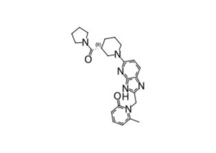 Cc1cccc(=O)n1Cc1nc2ccc(N3CCC[C@@H](C(=O)N4CCCC4)C3)nc2[nH]1